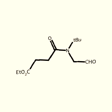 CCOC(=O)CCC(=O)N(CC=O)C(C)(C)C